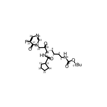 CC(C)(C)OC(=O)NCCCC[C@H](NC(=O)C1CCCC1)C(=O)Cn1cncc(F)c1=O